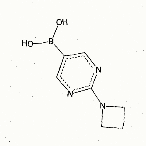 OB(O)c1cnc(N2CCC2)nc1